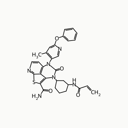 C=CC(=O)NC1CCC[C@@H](N2C(=O)N(c3cnc(Oc4ccccc4)cc3C)c3ccnc4sc(C(N)=O)c2c34)C1